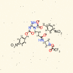 NC(=NC(=O)OCc1ccc([N+](=O)[O-])cc1)N(CCCC(=O)NC1CN(OC(=O)C(F)(F)F)C1)C(=O)OCc1ccc([N+](=O)[O-])cc1